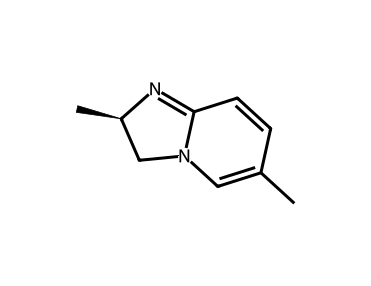 CC1=CN2C[C@@H](C)N=C2C=C1